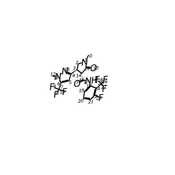 CN1C[C@H](c2cc(C(F)(F)F)n(C)n2)[C@@H](C(=O)Nc2cccc(F)c2C(F)(F)F)C1=O